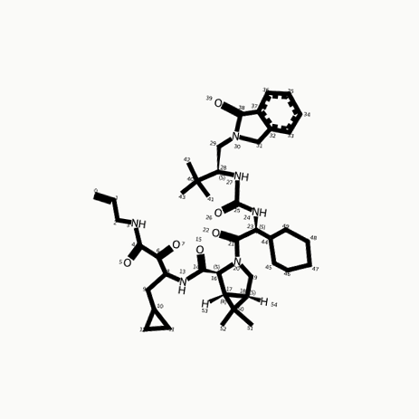 C=CCNC(=O)C(=O)C(CC1CC1)NC(=O)[C@@H]1[C@@H]2[C@H](CN1C(=O)[C@@H](NC(=O)N[C@H](CN1Cc3ccccc3C1=O)C(C)(C)C)C1CCCCC1)C2(C)C